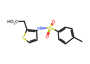 Cc1ccc(S(=O)(=O)Nc2ccsc2CC(=O)O)cc1